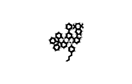 CCCCc1ccc(N2B3c4cccc5c4N(c4ccccc4C5(c4ccccc4)c4ccccc4)c4cc(-c5ccccc5)cc(c43)-c3c2ccc2sc4cc5c(cc4c32)C(C)(C)CCC5(C)C)cc1